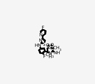 CN1C(=N)NC(C)(c2cc(Nc3nc(-c4ccc(F)cn4)cs3)ccc2F)CS1(=O)=O